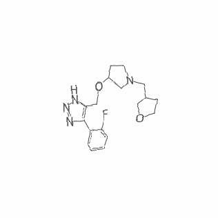 Fc1ccccc1-c1nn[nH]c1COC1CCN(CC2CCOC2)C1